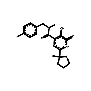 CN(Cc1ccc(F)cc1)C(=O)c1nc(C2(C)CCCS2)[nH]c(=O)c1O